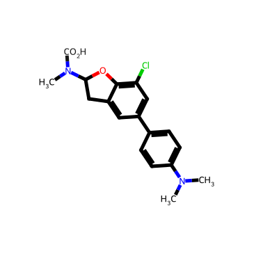 CN(C)c1ccc(-c2cc(Cl)c3c(c2)CC(N(C)C(=O)O)O3)cc1